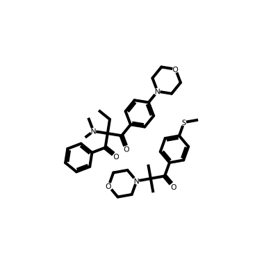 CCC(C(=O)c1ccccc1)(C(=O)c1ccc(N2CCOCC2)cc1)N(C)C.CSc1ccc(C(=O)C(C)(C)N2CCOCC2)cc1